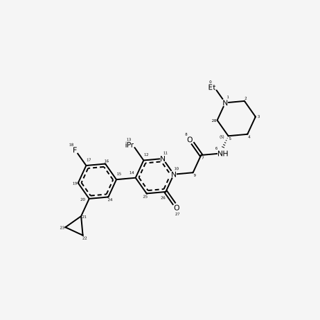 CCN1CCC[C@H](NC(=O)Cn2nc(C(C)C)c(-c3cc(F)cc(C4CC4)c3)cc2=O)C1